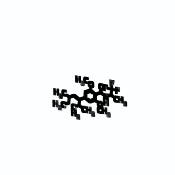 CCC(C)/C=C(/c1cc(OC)c(C(=O)NC(C)C(F)(F)F)c(OC)c1)C(C)C